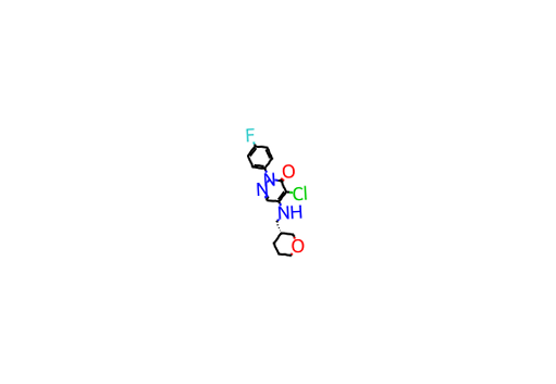 O=c1c(Cl)c(NC[C@H]2CCCOC2)cnn1-c1ccc(F)cc1